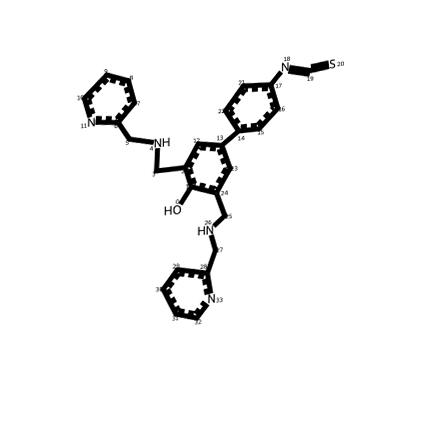 Oc1c(CNCc2ccccn2)cc(-c2ccc(N=C=S)cc2)cc1CNCc1ccccn1